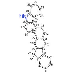 CC1(C)c2ccccc2-c2cc3ccc4c(ccc5[nH]c6ccccc6c54)c3cc21